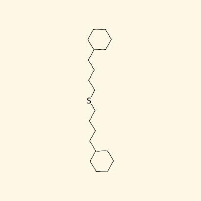 C1CCC(CCCCSCCCCC2CCCCC2)CC1